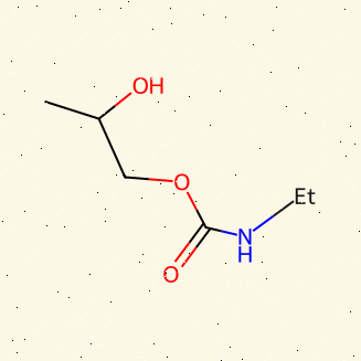 CCNC(=O)OCC(C)O